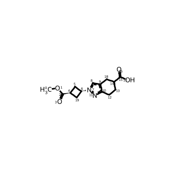 COC(=O)[C@H]1C[C@H](n2cc3c(n2)CCC(C(=O)O)C3)C1